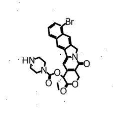 CC[C@@]1(OC(=O)N2CCNCC2)C(=O)OCc2c1cc1n(c2=O)Cc2cc3c(Br)cccc3cc2-1